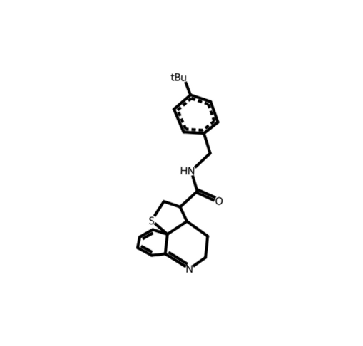 CC(C)(C)c1ccc(CNC(=O)C2CSC34C=CC=CC3=NCCC24)cc1